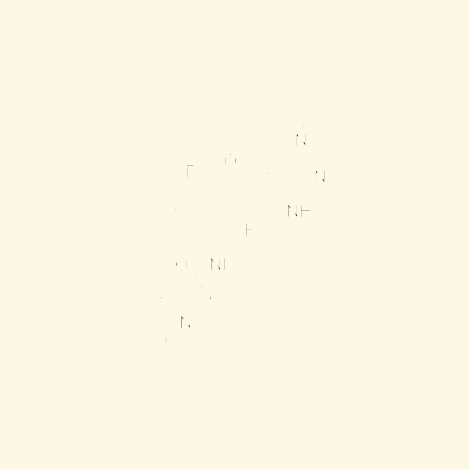 O=C(c1c(F)ccc(NS(=O)(=O)c2nccs2)c1F)c1c[nH]c2ncncc12